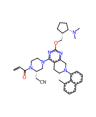 C=CC(=O)N1CCN(c2nc(OC[C@@H]3CCC[C@@H]3N(C)C)nc3c2CCN(c2cccc4cccc(C)c24)C3)C[C@@H]1CC#N